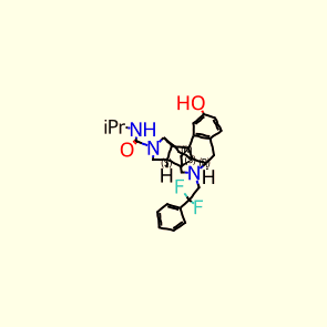 CC(C)NC(=O)N1C[C@H]2C[C@@]34CCC1C2[C@@]31CCN(CC(F)(F)c2ccccc2)[C@@H]4Cc2ccc(O)cc21